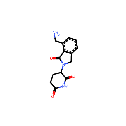 NCc1cccc2c1C(=O)N(C1CCC(=O)NC1=O)C2